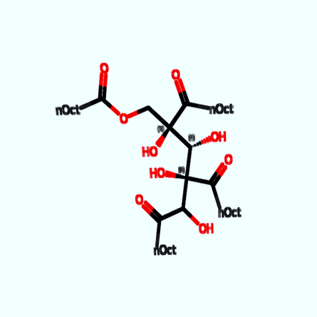 CCCCCCCCC(=O)OC[C@](O)(C(=O)CCCCCCCC)[C@H](O)[C@](O)(C(=O)CCCCCCCC)C(O)C(=O)CCCCCCCC